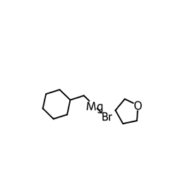 C1CCOC1.[Br][Mg][CH2]C1CCCCC1